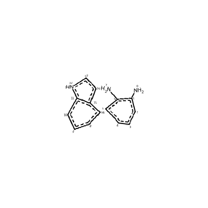 Nc1ccccc1N.c1ccc2[nH]ccc2c1